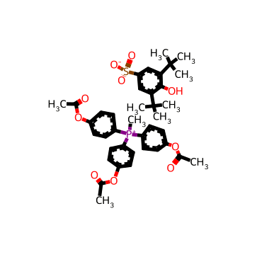 CC(=O)Oc1ccc([P+](C)(c2ccc(OC(C)=O)cc2)c2ccc(OC(C)=O)cc2)cc1.CC(C)(C)c1cc(S(=O)(=O)[O-])cc(C(C)(C)C)c1O